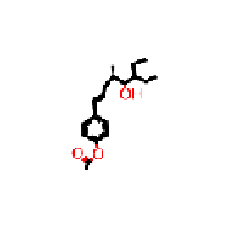 CCC(CC)[C@H](O)[C@H](C)C/C=C/c1ccc(OC(C)=O)cc1